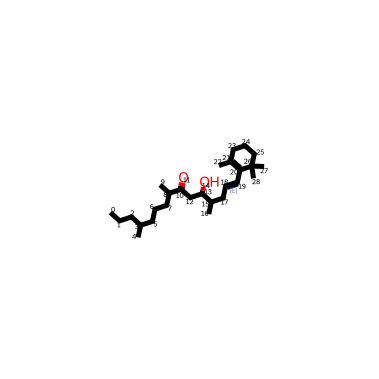 CCCC(C)CCCC(C)C(=O)CC(O)C(C)C/C=C/C1=C(C)CCCC1(C)C